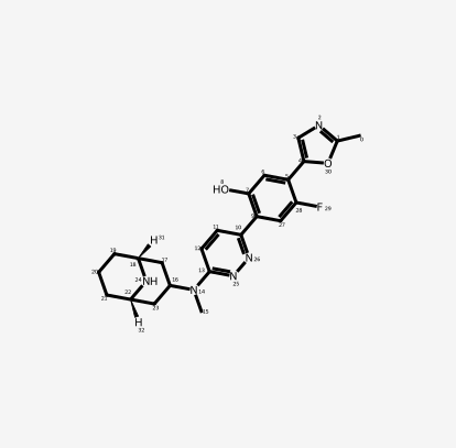 Cc1ncc(-c2cc(O)c(-c3ccc(N(C)C4C[C@H]5CCC[C@@H](C4)N5)nn3)cc2F)o1